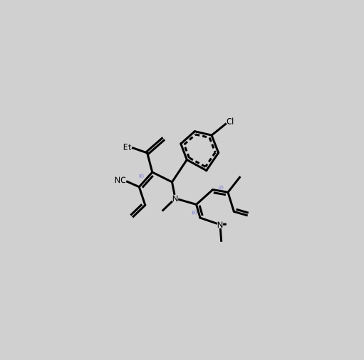 C=C/C(C)=C\C(=C/N(C)C)N(C)C(/C(C(=C)CC)=C(/C#N)C=C)c1ccc(Cl)cc1